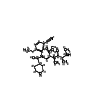 CCc1ccc(C#N)cc1N(C[C@@H](C(C)=O)N(C)C(=O)[C@H](C)NC)C(=O)C1CCOCC1